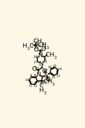 CC1CN(CC(=O)N2c3ccccc3C(C)(C)C2S(=O)(=O)c2ccccc2)CCN1C(=O)OC(C)(C)C